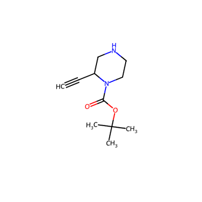 C#CC1CNCCN1C(=O)OC(C)(C)C